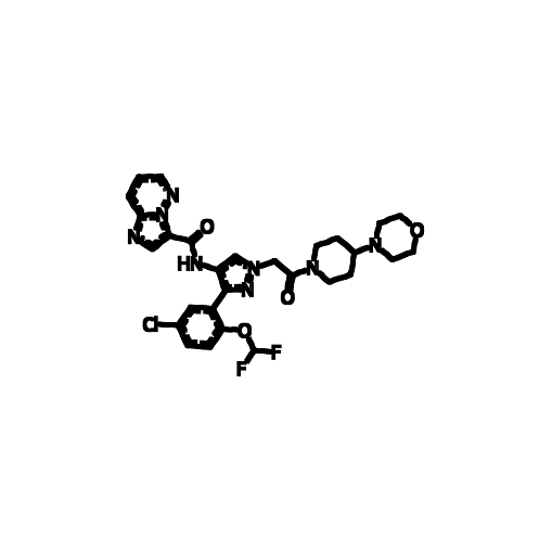 O=C(Nc1cn(CC(=O)N2CCC(N3CCOCC3)CC2)nc1-c1cc(Cl)ccc1OC(F)F)c1cnc2cccnn12